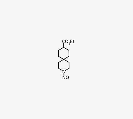 CCOC(=O)C1CCC2(CC1)CCN(N=O)CC2